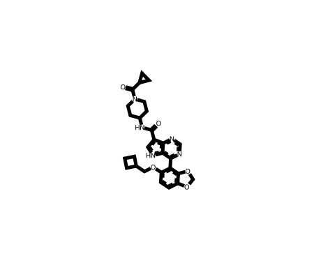 O=C(NC1CCN(C(=O)C2CC2)CC1)c1c[nH]c2c(-c3c(OCC4CCC4)ccc4c3OCO4)ncnc12